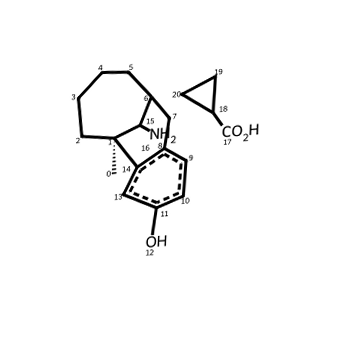 C[C@@]12CCCCC(Cc3ccc(O)cc31)C2N.O=C(O)C1CC1